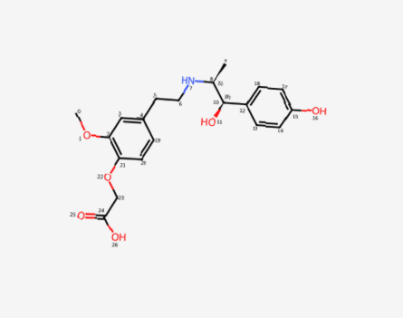 COc1cc(CCN[C@@H](C)[C@H](O)c2ccc(O)cc2)ccc1OCC(=O)O